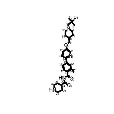 CC(C)(F)CN1CCC(COc2ccc(-c3ccc(C(=O)NC(=O)C4CCNCC4)c(F)c3)nc2)CC1